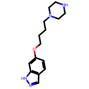 c1cc2cn[nH]c2cc1OCCCCN1CCNCC1